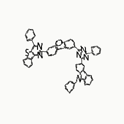 c1ccc(-c2nc(-c3ccc4oc5cc(-c6nc(-c7ccccc7)c7sc8ccccc8c7n6)ccc5c4c3)nc(-c3ccc4c(c3)c3ccccc3n4-c3ccccc3)n2)cc1